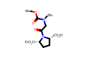 CCOC(=O)[C@H]1CC[C@@H](C(=O)OCC)N1C(=O)CN(C(=O)OC(C)(C)C)C(C)(C)C